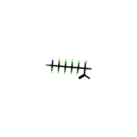 C=C(C)C(I)(CC)C(F)(F)C(F)(F)C(F)(F)C(F)(F)C(F)(F)I